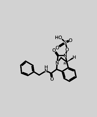 O=C(NCc1ccccc1)C1c2ccccc2[C@@H]2CN1C(=O)N2OS(=O)(=O)O